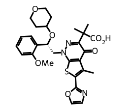 COc1ccccc1[C@@H](Cn1nc(C(C)(C)C(=O)O)c(=O)c2c(C)c(-c3ncco3)sc21)OC1CCOCC1